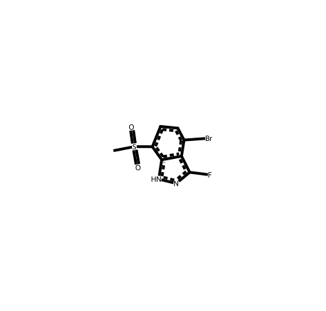 CS(=O)(=O)c1ccc(Br)c2c(F)n[nH]c12